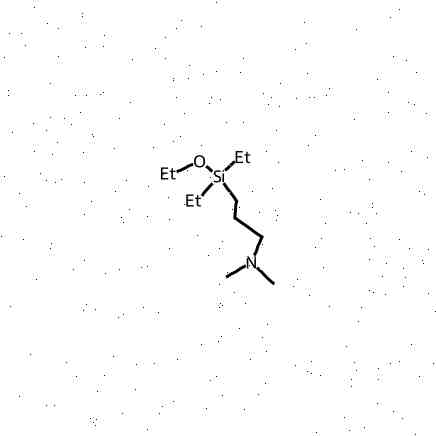 CCO[Si](CC)(CC)CCCN(C)C